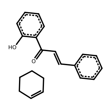 C1=CCCCC1.O=C(/C=C/c1ccccc1)c1ccccc1O